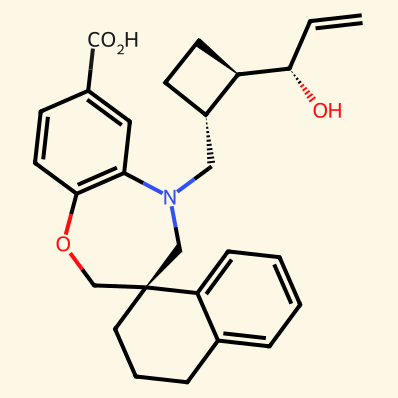 C=C[C@H](O)[C@@H]1CC[C@H]1CN1C[C@@]2(CCCc3ccccc32)COc2ccc(C(=O)O)cc21